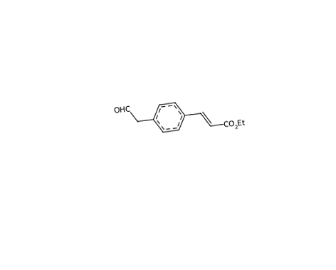 CCOC(=O)C=Cc1ccc(CC=O)cc1